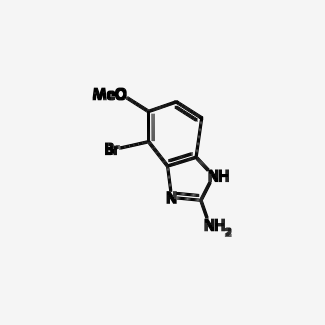 COc1ccc2[nH]c(N)nc2c1Br